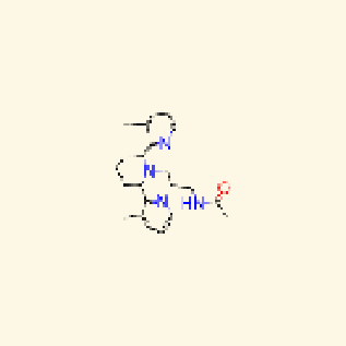 CC(=O)NCCCN1[C@@H](c2ncccc2C)CCC[C@H]1c1ncccc1C